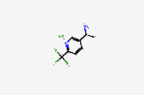 C[C@H](N)c1ccc(C(F)(F)F)nc1.Cl